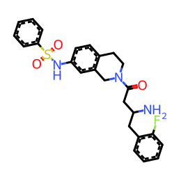 NC(CC(=O)N1CCc2ccc(NS(=O)(=O)c3ccccc3)cc2C1)Cc1ccccc1F